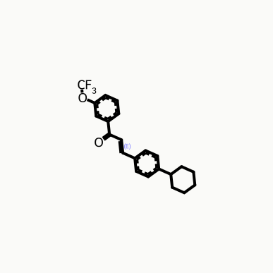 O=C(/C=C/c1ccc(C2CCCCC2)cc1)c1cccc(OC(F)(F)F)c1